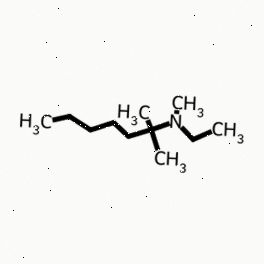 CCCCCC(C)(C)N(C)CC